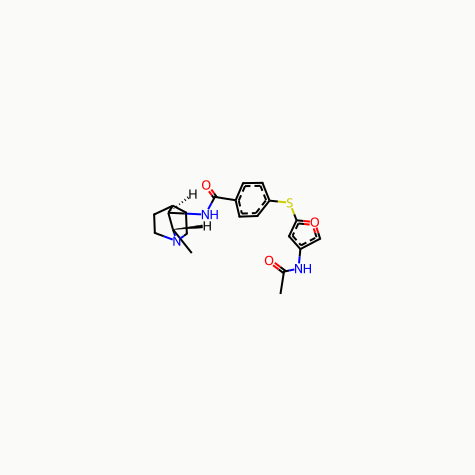 CC(=O)Nc1coc(Sc2ccc(C(=O)N[C@@H]3C4CCN(CC4)[C@H]3C)cc2)c1